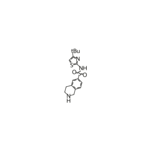 CC(C)(C)c1csc(NS(=O)(=O)c2ccc3c(c2)CCNC3)n1